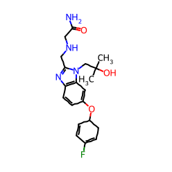 CC(C)(O)Cn1c(CNCC(N)=O)nc2ccc(OC3C=CC(F)=CC3)cc21